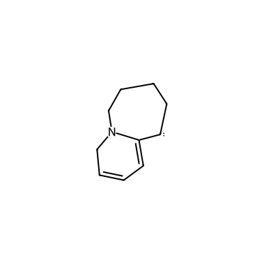 [C]1CCCCN2CC=CC=C12